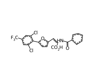 O=C(O)/C(=C\c1ccc(-c2c(Cl)cc(C(F)(F)F)cc2Cl)o1)NC(=O)c1ccccc1